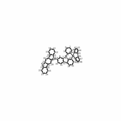 c1ccc2c(c1)B1c3cc(-n4c5ccccc5c5cc6sc7ccccc7c6cc54)ccc3-c3cccc(c31)C21c2ccccc2-c2ccccc21